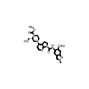 COc1cc2nn(C)cc2cc1NC(=O)N1CCc2c(N3CCN(C(=O)OC(C)(C)C)[C@@H](CO)C3)ccnc21